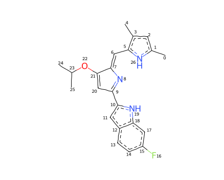 Cc1cc(C)c(/C=C2\N=C(c3cc4ccc(F)cc4[nH]3)C=C2OC(C)C)[nH]1